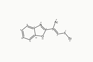 CCS/C=C(\C(C)=O)c1nc2ccccc2o1